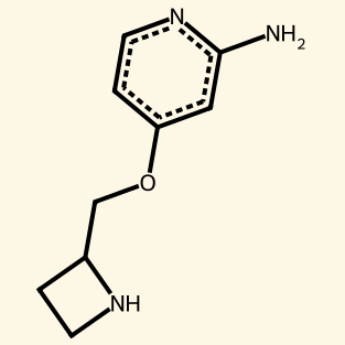 Nc1cc(OCC2CCN2)ccn1